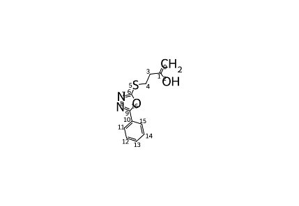 C=C(O)CCSc1nnc(-c2ccccc2)o1